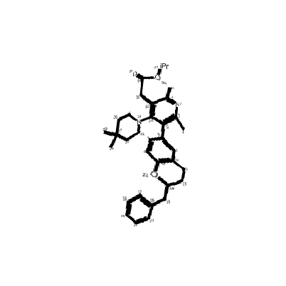 Cc1nc(C)c(-c2ccc3c(c2)CCC(Cc2ccccc2)O3)c(N2CCC(C)(C)CC2)c1CC(=O)OC(C)C